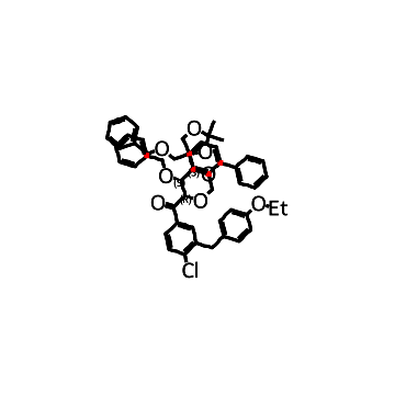 CCOc1ccc(Cc2cc(C(=O)[C@H](OCc3ccccc3)[C@@H](OCc3ccccc3)[C@H](OCc3ccccc3)C3(COCc4ccccc4)COC(C)(C)O3)ccc2Cl)cc1